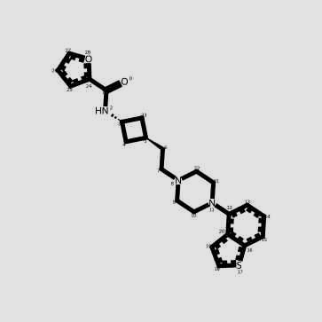 O=C(N[C@H]1C[C@H](CCN2CCN(c3cccc4sccc34)CC2)C1)c1ccco1